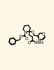 CNC(=O)CCC1(OCC2=NC=COC2)CCCCN1C(=O)OCc1ccccc1